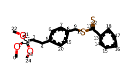 CO[Si](CCc1ccc(CSC(=S)c2ccccc2)cc1)(OC)OC